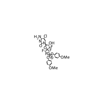 COc1ccc(OP(=O)(OC[C@@]2(C(F)F)O[C@@H](n3cc(Cl)c(N)nc3=O)C(O)C2(F)F)Oc2ccc(OC)cc2)cc1